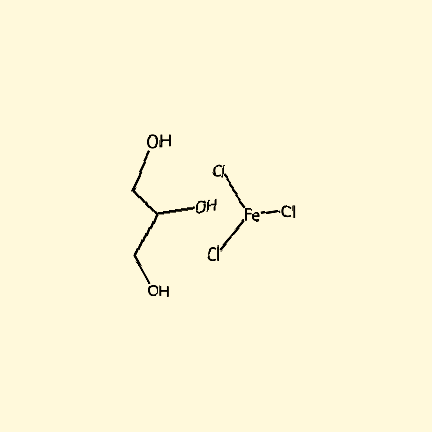 OCC(O)CO.[Cl][Fe]([Cl])[Cl]